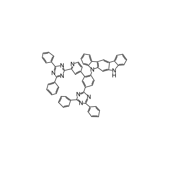 c1ccc(-c2nc(-c3ccccc3)nc(-c3ccc(-n4c5ccccc5c5cc6c(cc54)[nH]c4ccccc46)c(-c4ccnc(-c5nc(-c6ccccc6)nc(-c6ccccc6)n5)c4)c3)n2)cc1